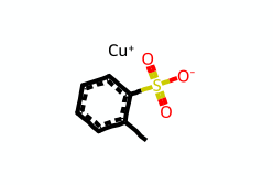 Cc1ccccc1S(=O)(=O)[O-].[Cu+]